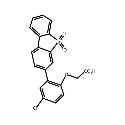 O=C(O)COc1ccc(Cl)cc1-c1ccc2c(c1)S(=O)(=O)c1ccccc1-2